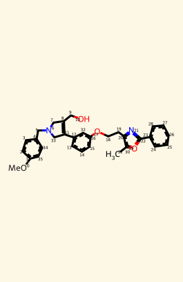 COc1ccc(CN2CC(CO)=C(c3cccc(OCCc4nc(-c5ccccc5)oc4C)c3)C2)cc1